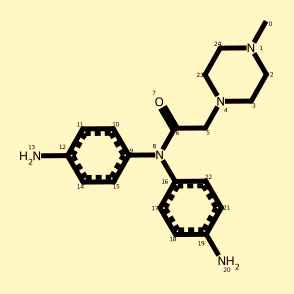 CN1CCN(CC(=O)N(c2ccc(N)cc2)c2ccc(N)cc2)CC1